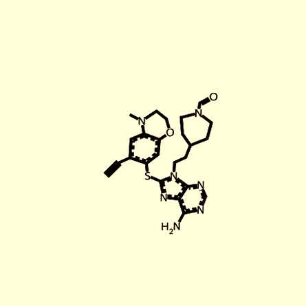 C#Cc1cc2c(cc1Sc1nc3c(N)ncnc3n1CCC1CCN(C=O)CC1)OCCN2C